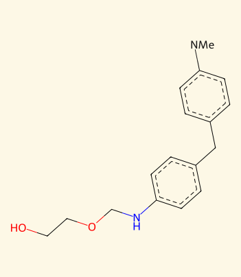 CNc1ccc(Cc2ccc(NCOCCO)cc2)cc1